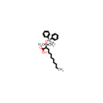 CCCCCCCCCC(C(=O)O)[Si](C)(C)O[Si](C)(c1ccccc1)c1ccccc1